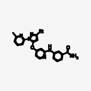 CCc1cc(Oc2ccnc(Nc3cccc(C(N)=O)c3)c2)n(-c2cccc(C)n2)n1